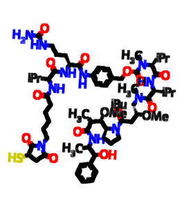 CC[C@H](C)[C@@H](C(CC(=O)N1CCC[C@H]1[C@H](OC)C(C)C(=O)NC(C)C(O)c1ccccc1)OC)N(C)C(=O)[C@@H](NC(=O)[C@H](C(C)C)N(C)C(=O)OCc1ccc(NC(=O)[C@H](CCCNC(N)=O)NC(=O)C(NC(=O)CCCCCN2C(=O)CC(S)C2=O)C(C)C)cc1)C(C)C